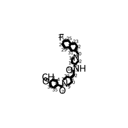 COc1ccc(C(=O)N2CCC(=CC(=O)NC3CCN(Cc4ccc5cc(F)ccc5c4)C3)CC2)cc1